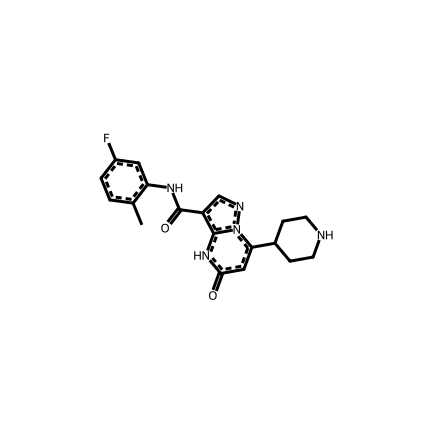 Cc1ccc(F)cc1NC(=O)c1cnn2c(C3CCNCC3)cc(=O)[nH]c12